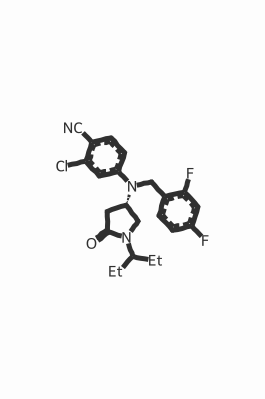 CCC(CC)N1C[C@@H](N(Cc2ccc(F)cc2F)c2ccc(C#N)c(Cl)c2)CC1=O